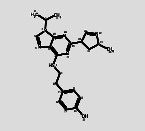 CC(C)n1cnc2c(NCCc3ccc(O)cc3)nc(C3C=NN(C)C3)nc21